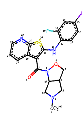 O=C(O)N1CC2CON(C(=O)c3c(Nc4ccc(I)cc4F)sc4ncccc34)C2C1